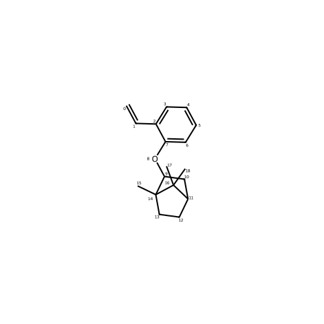 C=Cc1ccccc1OC1CC2CCC1(C)C2(C)C